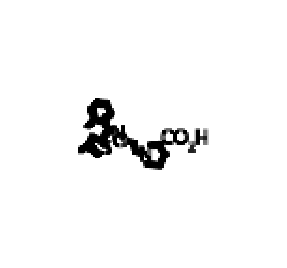 Cc1csc(/C(=N\OCCN2CCCC(C(=O)O)C2)c2ccccc2C)c1